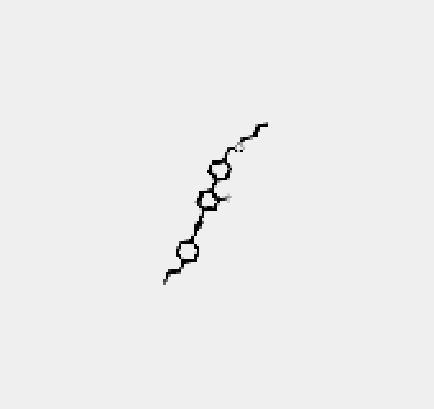 CC=CCOCc1ccc(-c2ccc(C#CC3CCC(/C=C/C)CC3)cc2F)cc1